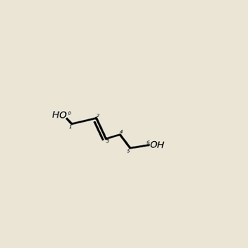 OCC=CCCO